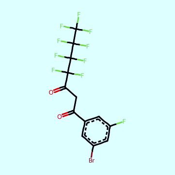 O=C(CC(=O)C(F)(F)C(F)(F)C(F)(F)C(F)(F)F)c1cc(F)cc(Br)c1